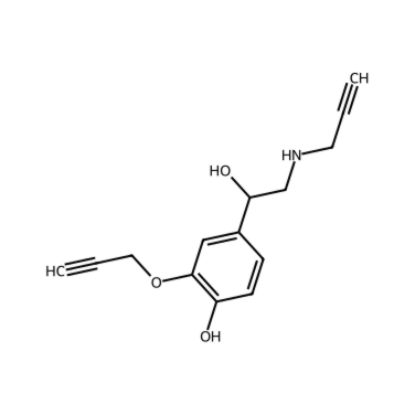 C#CCNCC(O)c1ccc(O)c(OCC#C)c1